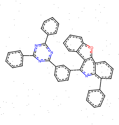 c1ccc(-c2nc(-c3ccccc3)nc(-c3cccc(-c4nc5c(-c6ccccc6)cccc5c5oc6ccccc6c45)c3)n2)cc1